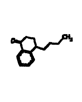 CCCCC1CCC(=O)c2ccccc21